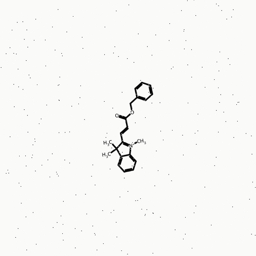 C[N+]1=C(/C=C/C(=O)OCc2ccccc2)C(C)(C)c2ccccc21